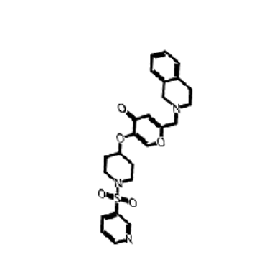 O=c1cc(CN2CCc3ccccc3C2)occ1OC1CCN(S(=O)(=O)c2cccnc2)CC1